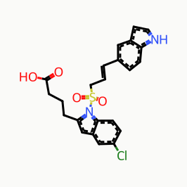 O=C(O)CCCc1cc2cc(Cl)ccc2n1S(=O)(=O)CC=Cc1ccc2[nH]ccc2c1